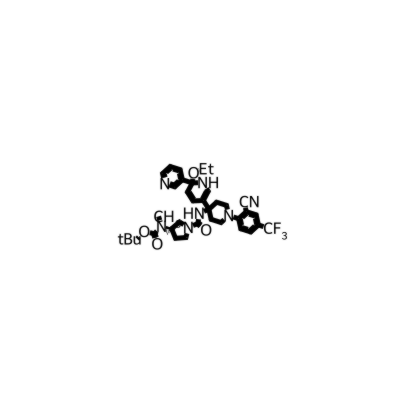 CCOC1(c2cccnc2)C=CC(C2(NC(=O)N3CC[C@@H](N(C)C(=O)OC(C)(C)C)C3)CCN(c3ccc(C(F)(F)F)cc3C#N)CC2)=CN1